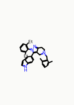 CCc1cccc(CC)c1-n1nc2c(c1-c1ccc3[nH]ccc3c1)CN(Cc1c(C)cccc1C)CC2